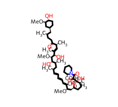 CO[C@@H]([C@@H](O)[C@H](C)C[C@H](C)/C=C/C=C/C=C(\C)[C@H](C[C@@H]1CC[C@@H](C)[C@](O)(C(=O)C(=O)N2CCCC[C@H]2C(=O)O)O1)OC)[C@H](O)/C(C)=C/[C@@H](C)C(=O)CC[C@H](C)C[C@@H]1CC[C@@H](O)[C@H](OC)C1